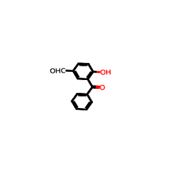 O=Cc1ccc(O)c(C(=O)c2ccccc2)c1